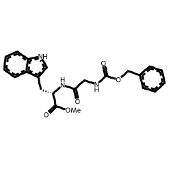 COC(=O)[C@H](Cc1c[nH]c2ccccc12)NC(=O)CNC(=O)OCc1ccccc1